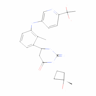 CC(O)(O)c1ccc(Nc2cccc3c2C[C@]32CC(=O)N([C@H]3C[C@@](C)(O)C3)C(=N)N2)cn1